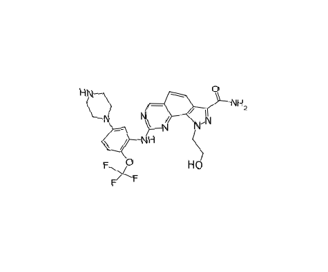 NC(=O)c1nn(CCO)c2c1ccc1cnc(Nc3cc(N4CCNCC4)ccc3OC(F)(F)F)nc12